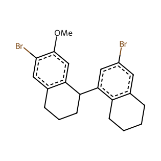 COc1cc2c(cc1Br)CCCC2c1cc(Br)cc2c1CCCC2